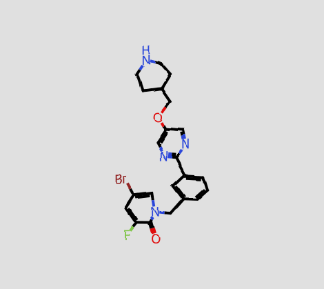 O=c1c(F)cc(Br)cn1Cc1cccc(-c2ncc(OCC3CCNCC3)cn2)c1